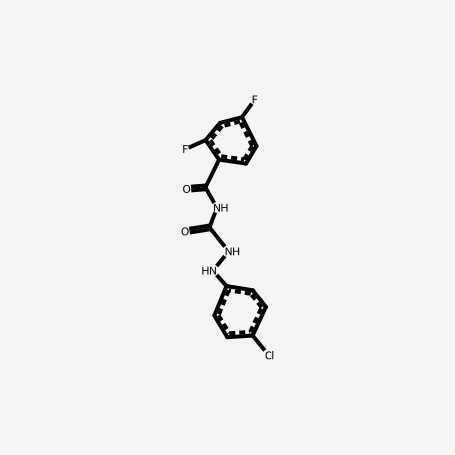 O=C(NNc1ccc(Cl)cc1)NC(=O)c1ccc(F)cc1F